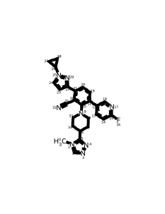 Cn1cnnc1C1CCN(c2c(-c3ccc(F)nc3)ccc(-c3ccn(C4CC4)n3)c2C#N)CC1